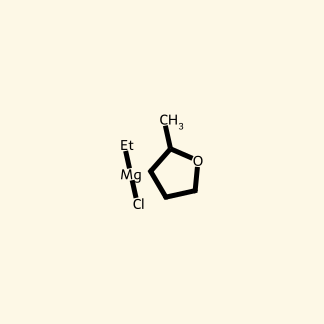 CC1CCCO1.C[CH2][Mg][Cl]